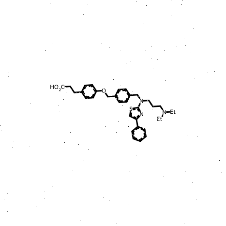 CCN(CC)CCCN(Cc1ccc(COc2ccc(CCC(=O)O)cc2)cc1)c1nc(-c2ccccc2)cs1